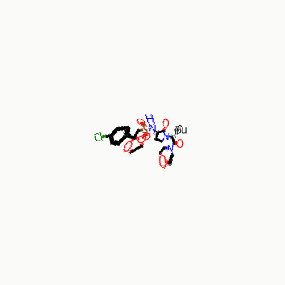 CC[C@H](C)[C@@H](C(=O)N1CCOCC1)N1CC[C@H](NS(=O)(=O)CC2(c3ccc(Cl)cc3)OCCO2)C1=O